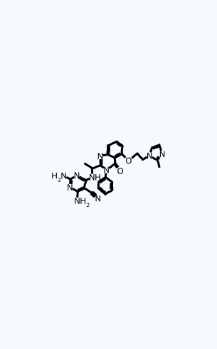 Cc1nccn1CCOc1cccc2nc(C(C)Nc3nc(N)nc(N)c3C#N)n(-c3ccccc3)c(=O)c12